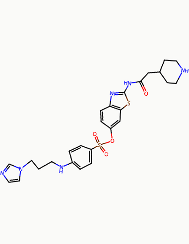 O=C(CC1CCNCC1)Nc1nc2ccc(OS(=O)(=O)c3ccc(NCCCn4ccnc4)cc3)cc2s1